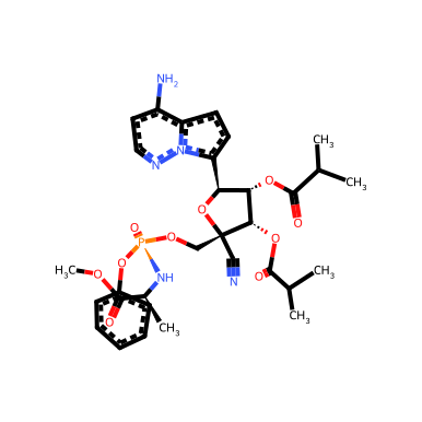 COC(=O)[C@H](C)N[P@@](=O)(OC[C@@]1(C#N)O[C@@H](c2ccc3c(N)ccnn23)[C@H](OC(=O)C(C)C)[C@@H]1OC(=O)C(C)C)Oc1ccccc1